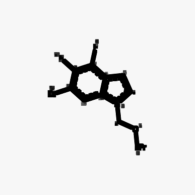 CCCOCn1ccc2c(F)c(F)c(CC)cc21